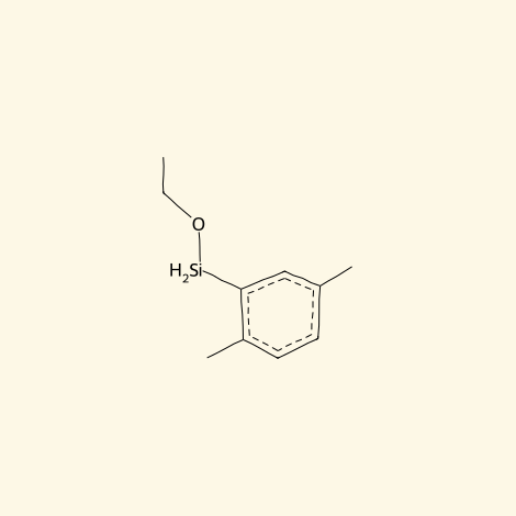 CCO[SiH2]c1cc(C)ccc1C